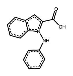 O=C(O)c1cc2ccccc2n1Nc1ccccc1